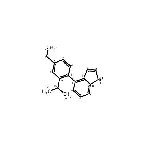 CCc1ccc(-c2cccc3[nH]ccc23)c(C(C)C)c1